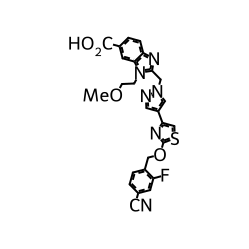 COCCn1c(Cn2cc(-c3csc(OCc4ccc(C#N)cc4F)n3)cn2)nc2ccc(C(=O)O)cc21